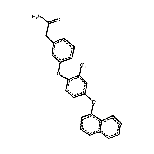 NC(=O)Cc1cccc(Oc2ccc(Oc3cccc4ccncc34)cc2C(F)(F)F)c1